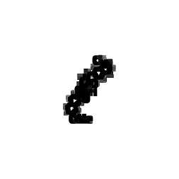 COc1ccc2ccc(S(=O)(=O)N[C@H]3CCN(Cc4ccc5ccnc(Cl)c5c4)C3=O)cc2c1